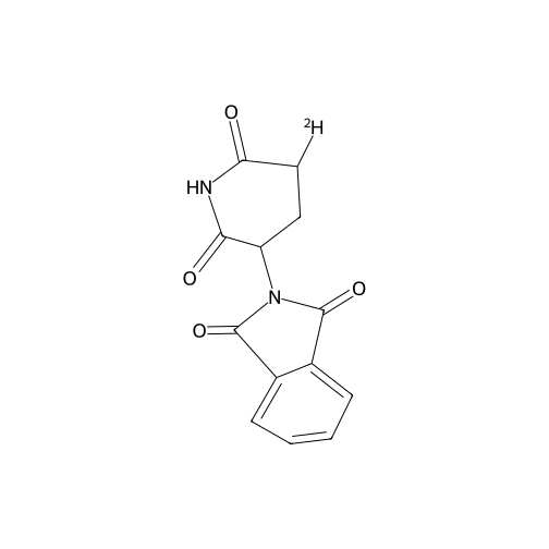 [2H]C1CC(N2C(=O)c3ccccc3C2=O)C(=O)NC1=O